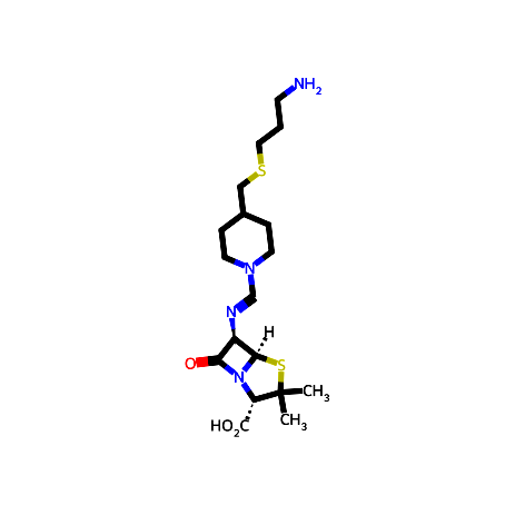 CC1(C)S[C@@H]2[C@H](N=CN3CCC(CSCCCN)CC3)C(=O)N2[C@H]1C(=O)O